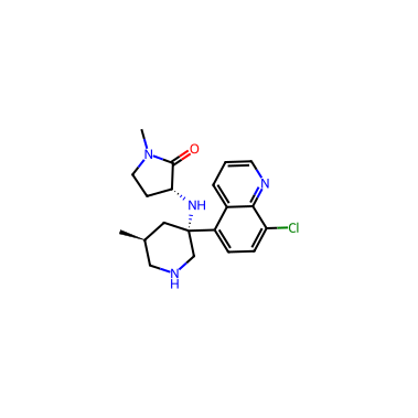 C[C@@H]1CNC[C@](N[C@@H]2CCN(C)C2=O)(c2ccc(Cl)c3ncccc23)C1